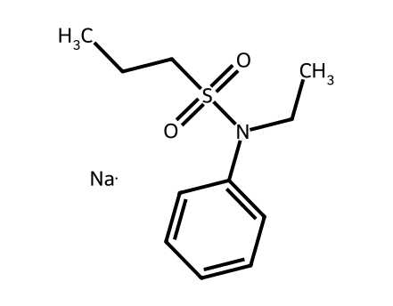 CCCS(=O)(=O)N(CC)c1ccccc1.[Na]